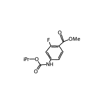 COC(=O)c1ccc(NC(=O)OC(C)C)cc1F